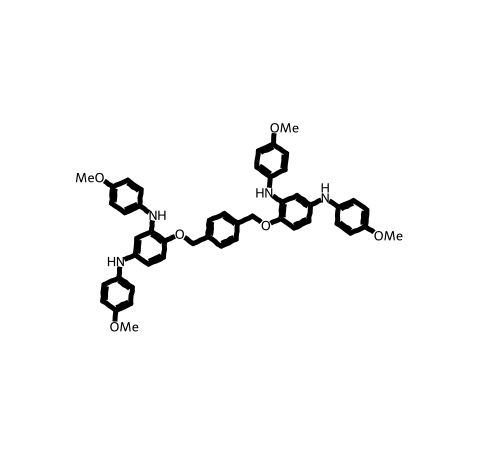 COc1ccc(Nc2ccc(OCc3ccc(COc4ccc(Nc5ccc(OC)cc5)cc4Nc4ccc(OC)cc4)cc3)c(Nc3ccc(OC)cc3)c2)cc1